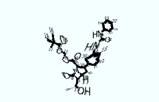 C[C@@H](O)[C@H]1C(=O)N2C(C(=O)OCOC(=O)C(C)(C)C)=C(c3cccc(NC(=O)Nc4ccccc4)c3)C[C@H]12